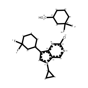 FC1(F)CCCC(c2cn(C3CC3)c3cnc(Cl)nc23)C1.O=C(O)C1CCCC(F)(F)C1